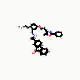 Cc1oc(-c2ccccc2)nc1CCOc1ccc(CCC(=O)O)c(CNC(=O)c2ccc3c(c2)C(=O)c2ccccc2-3)c1